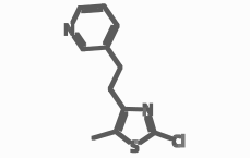 Cc1sc(Cl)nc1CCc1cccnc1